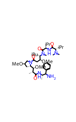 CCC(C)[C@@H]([C@H](CC(=O)N1C[C@H](OC)C[C@H]1[C@H](OC)[C@@H](C)C(=O)N[C@@H](C)C(N)c1ccccc1)OC)N(C)C(=O)[C@@H](NC(=O)[C@H](C(C)C)N(C)C)C(C)C